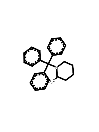 O=C(O)C1CCCCN1C(c1ccccc1)(c1ccccc1)c1ccccc1